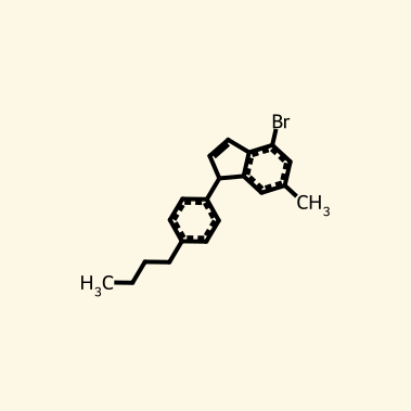 CCCCc1ccc(C2C=Cc3c(Br)cc(C)cc32)cc1